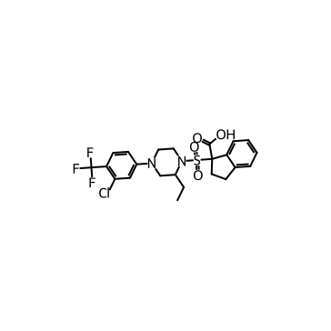 CCC1CN(c2ccc(C(F)(F)F)c(Cl)c2)CCN1S(=O)(=O)C1(C(=O)O)CCc2ccccc21